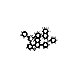 c1ccc(-c2cc(-c3cccc4oc5cc(-c6cccc(N(c7ccccc7)c7ccc8ccccc8c7)c6)c6ccccc6c5c34)nc(-c3ccccc3)n2)cc1